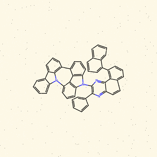 c1ccc(-c2nc3ccc4cccc(-c5cccc6ccccc56)c4c3nc2-n2c3cccc4c5cccc6c7ccccc7n(c7cccc2c7c43)c56)cc1